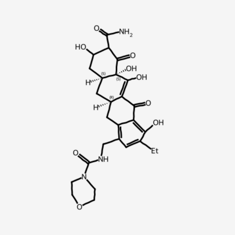 CCc1cc(CNC(=O)N2CCOCC2)c2c(c1O)C(=O)C1=C(O)[C@]3(O)C(=O)C(C(N)=O)C(O)C[C@@H]3C[C@@H]1C2